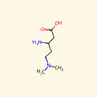 CN(C)CCC(N)CC(=O)O